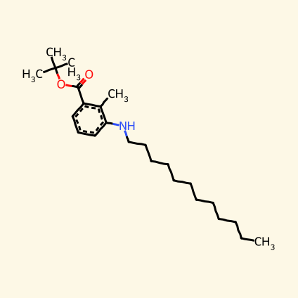 CCCCCCCCCCCCNc1cccc(C(=O)OC(C)(C)C)c1C